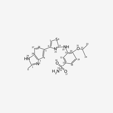 Cc1nc2cc(-c3csc(Nc4cc(S(N)(=O)=O)ccc4OC(C)C)n3)ccc2[nH]1